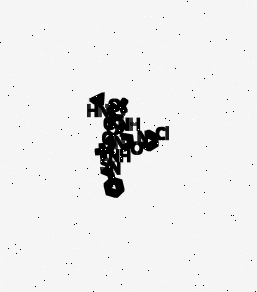 CCC[C@H](NC(=O)[C@@H]1C[C@@H](Oc2ccc(Cl)cn2)CN1C(=O)[C@@H](Nc1nc(-c2ccccc2)cs1)C(C)(C)C)C(=O)C(=O)NC1CC1